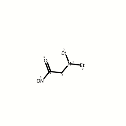 CCN(CC)CC(=O)N=O